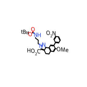 COc1cc2c(cc1-c1cccc([N+](=O)[O-])c1)-c1nn(CCCNC(=O)OC(C)(C)C)c(C(=O)O)c1CC2